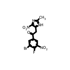 Cc1nc([N+](=O)[O-])c(CC(=O)c2cc(Br)c(F)c([N+](=O)[O-])c2)[nH]1